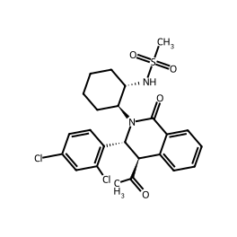 CC(=O)[C@@H]1c2ccccc2C(=O)N([C@H]2CCCC[C@@H]2NS(C)(=O)=O)[C@H]1c1ccc(Cl)cc1Cl